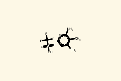 Cc1ccnc(N)c1C.O=S(=O)(O)C(F)(F)F